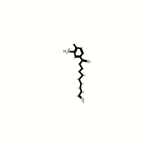 Cc1ccc(C(=O)CCCCCCCCC=O)cc1N